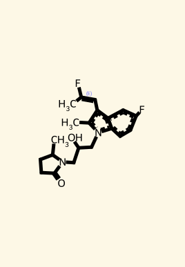 C/C(F)=C\c1c(C)n(CC(O)CN2C(=O)CCC2C)c2ccc(F)cc12